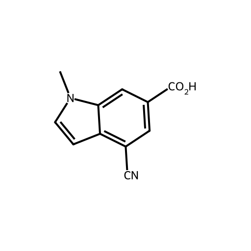 Cn1ccc2c(C#N)cc(C(=O)O)cc21